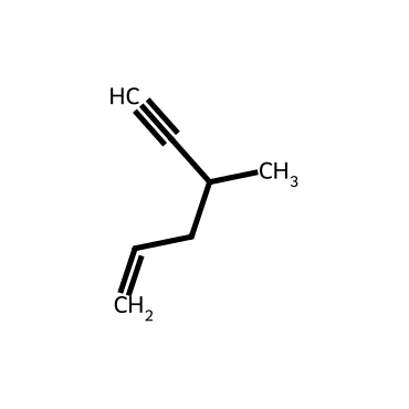 C#C[C](C)CC=C